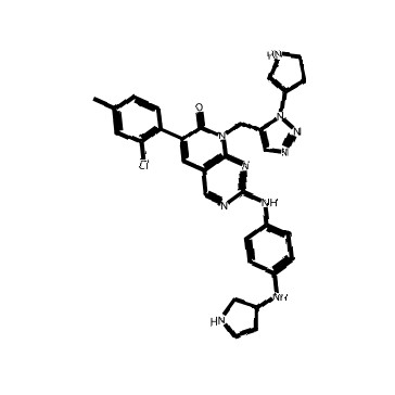 Cc1ccc(-c2cc3cnc(Nc4ccc(NC5CCNC5)cc4)nc3n(Cc3cnnn3C3CCNC3)c2=O)c(Cl)c1